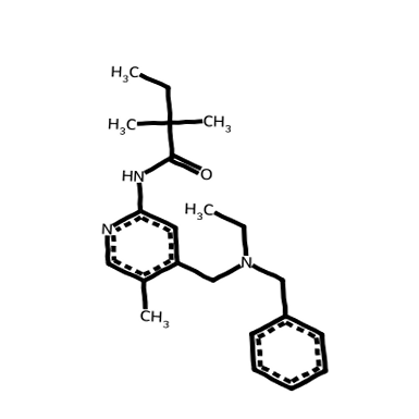 CCN(Cc1ccccc1)Cc1cc(NC(=O)C(C)(C)CC)ncc1C